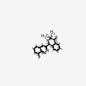 CC1(C)N=C(c2cc3cccc(F)c3nn2)c2ccccc2C1F